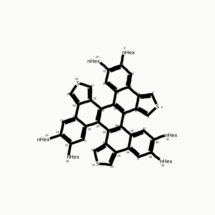 CCCCCCc1cc2c3cscc3c3c(c2cc1CCCCCC)c1c2cscc2c2cc(CCCCCC)c(CCCCCC)cc2c1c1c2cscc2c2cc(CCCCCC)c(CCCCCC)cc2c31